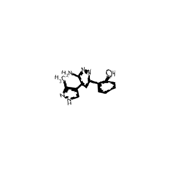 Cc1n[nH]cc1-c1cc(-c2ccccc2O)nnc1N